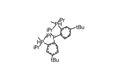 CC(C)[PH](C)(c1cc(C(C)(C)C)ccc1P(C)c1ccc(C(C)(C)C)cc1[PH](C)(C(C)C)C(C)C)C(C)C